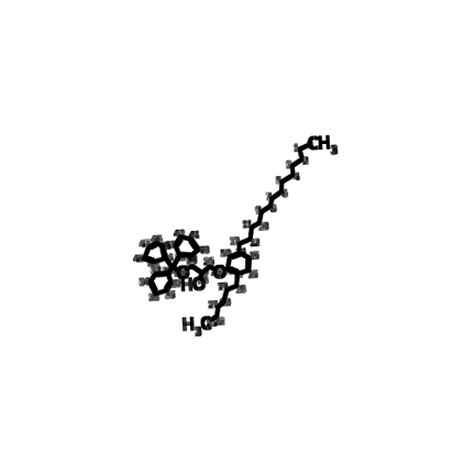 CCCCCCCCCCCCCCc1ccc(CCCCCC)c(OCC(O)COC(c2ccccc2)(c2ccccc2)c2ccccc2)c1